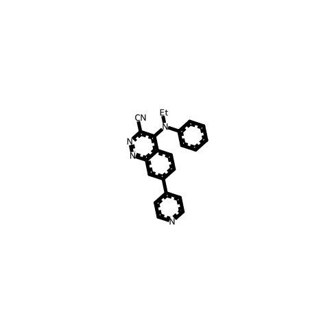 CCN(c1ccccc1)c1c(C#N)nnc2cc(-c3ccncc3)ccc12